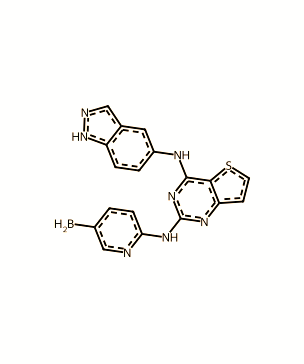 Bc1ccc(Nc2nc(Nc3ccc4[nH]ncc4c3)c3sccc3n2)nc1